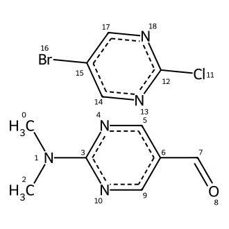 CN(C)c1ncc(C=O)cn1.Clc1ncc(Br)cn1